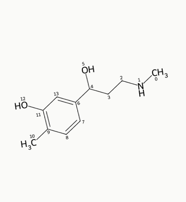 CNCCC(O)c1ccc(C)c(O)c1